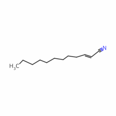 CCCCCCCCC/C=C/C#N